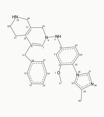 COc1cc(NN2C=C(Cc3ccccc3)C3=C(CNCC3)C2)ccc1-n1cnc(C)c1